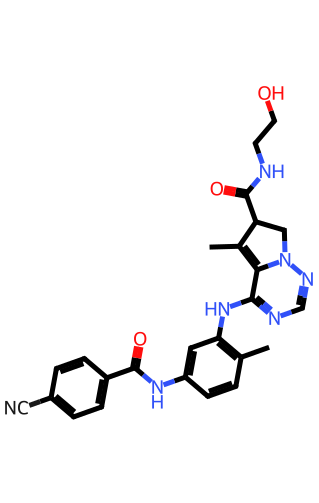 CC1=C2C(Nc3cc(NC(=O)c4ccc(C#N)cc4)ccc3C)=NC=NN2CC1C(=O)NCCO